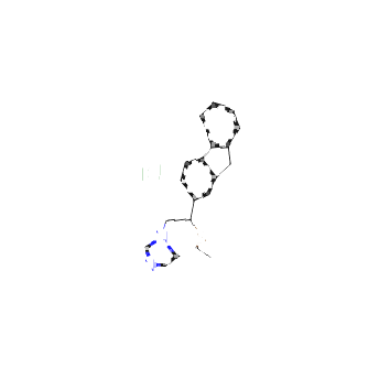 CCSC(Cn1ccnc1)c1ccc2c(c1)Cc1ccccc1-2.Cl